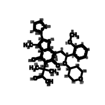 COc1ccccc1[C@H](Cn1c(=O)n(C(C)(C)C(=O)O)c(=O)c2c(C)c(-n3cccn3)sc21)OC1CCOCC1